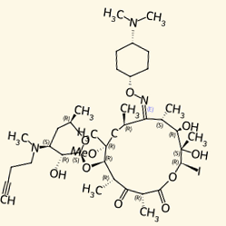 C#CCCN(C)[C@H]1C[C@@H](C)O[C@@H](O[C@@H]2[C@@H](C)C(=O)[C@@H](C)C(=O)O[C@H](I)[C@@](C)(O)[C@H](O)[C@@H](C)/C(=N/O[C@H]3CC[C@@H](N(C)C)CC3)[C@H](C)C[C@@]2(C)OC)[C@@H]1O